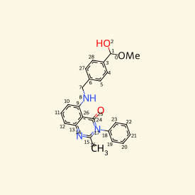 COC(O)c1ccc(CNc2cccc3nc(C)n(-c4ccccc4)c(=O)c23)cc1